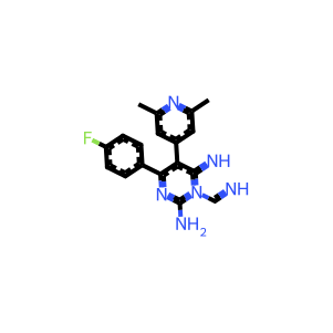 Cc1cc(-c2c(-c3ccc(F)cc3)nc(N)n(C=N)c2=N)cc(C)n1